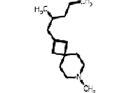 CCCC(C)CC1CC2(CCN(C)CC2)C1